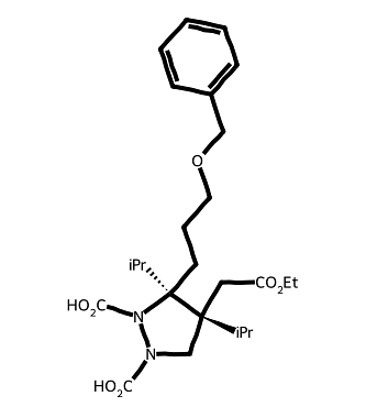 CCOC(=O)C[C@]1(C(C)C)CN(C(=O)O)N(C(=O)O)[C@]1(CCCOCc1ccccc1)C(C)C